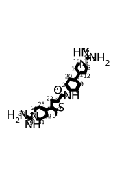 Cc1sc(C(=O)Nc2ccc(C3=CCN(C(=N)N)CC3)cc2)cc1C1=CCN(C(=N)N)CC1